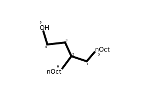 CCCCCCCCCC(CCO)CCCCCCCC